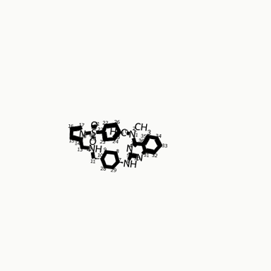 CN(C)c1nc(N[C@H]2CC[C@@H](CNCc3cccn3S(=O)(=O)c3ccccc3)CC2)nc2ccccc12